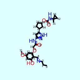 CCC/N=C/c1c(O)cc(OC)cc1OCC(=O)Nc1cc([C@H]2CC[C@@H](OC(=O)NC3(C)CC3)C2)[nH]n1